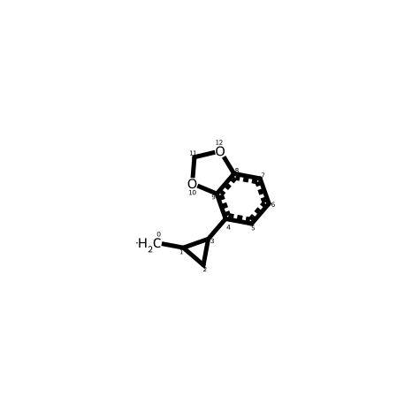 [CH2]C1CC1c1cccc2c1OCO2